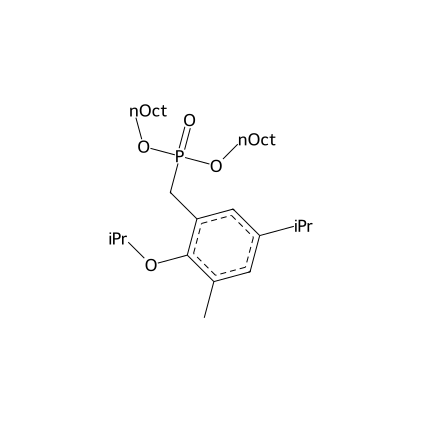 CCCCCCCCOP(=O)(Cc1cc(C(C)C)cc(C)c1OC(C)C)OCCCCCCCC